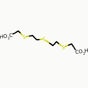 O=C(O)CSCCSCCSCC(=O)O